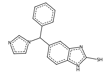 Sc1nc2cc(C(c3ccccc3)n3ccnc3)ccc2[nH]1